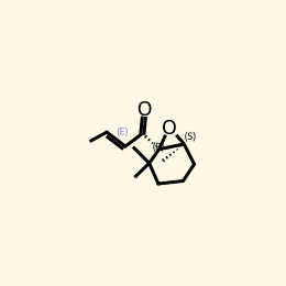 C/C=C/C(=O)[C@]12O[C@@]1(C)CCCC2(C)C